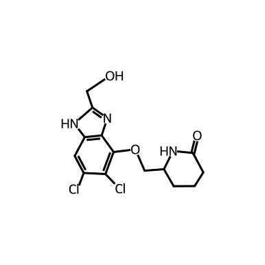 O=C1CCCC(COc2c(Cl)c(Cl)cc3[nH]c(CO)nc23)N1